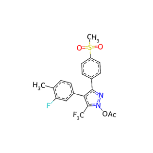 CC(=O)On1nc(-c2ccc(S(C)(=O)=O)cc2)c(-c2ccc(C)c(F)c2)c1C(F)(F)F